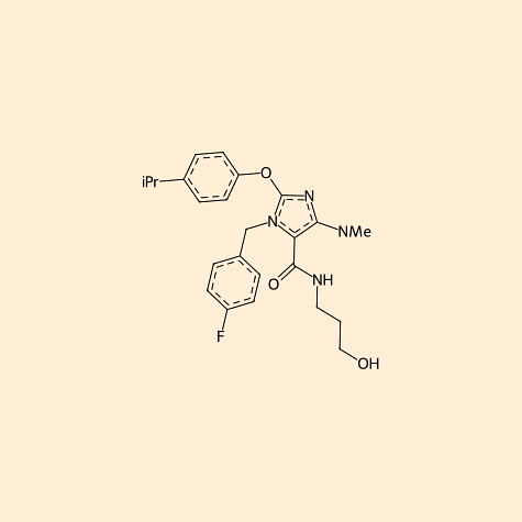 CNc1nc(Oc2ccc(C(C)C)cc2)n(Cc2ccc(F)cc2)c1C(=O)NCCCO